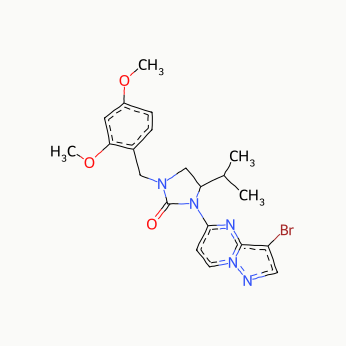 COc1ccc(CN2CC(C(C)C)N(c3ccn4ncc(Br)c4n3)C2=O)c(OC)c1